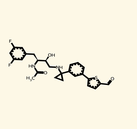 CC(=O)N[C@@H](Cc1cc(F)cc(F)c1)[C@@H](O)CNC1(c2cccc(-c3ccc(C=O)s3)c2)CC1